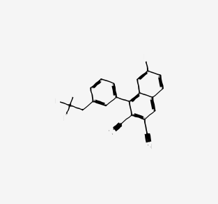 N#Cc1cc2ccc(F)cc2c(-c2cccc(CC(F)(F)F)c2)c1C#N